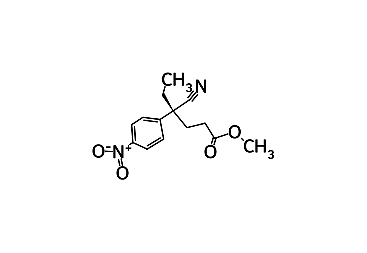 CC[C@@](C#N)(CCC(=O)OC)c1ccc([N+](=O)[O-])cc1